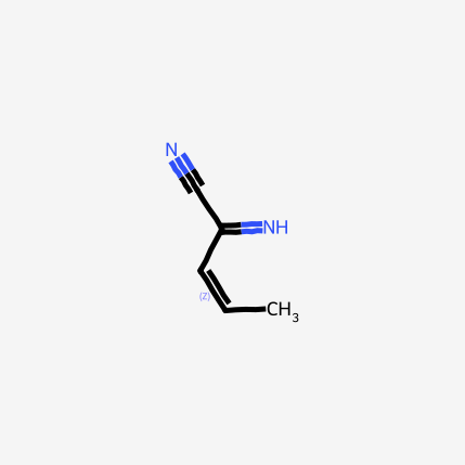 C/C=C\C(=N)C#N